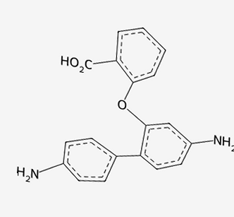 Nc1ccc(-c2ccc(N)cc2Oc2ccccc2C(=O)O)cc1